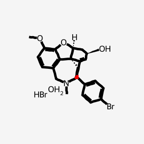 Br.COc1ccc2c3c1O[C@H]1C[C@@H](O)C=C(Cc4ccc(Br)cc4)[C@@]31CCN(C)C2.O